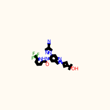 CC(C)(O)C1CC(n2cc3cc(NC(=O)c4cccc(C(F)(F)F)n4)c(-n4cc(C#N)cn4)cc3n2)C1